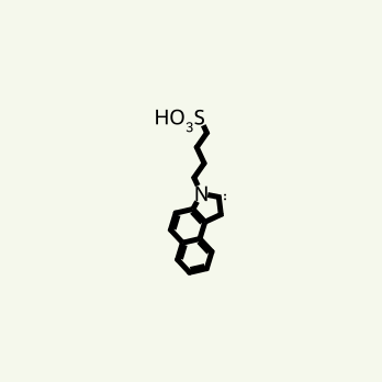 O=S(=O)(O)CCCCN1[C]Cc2c1ccc1ccccc21